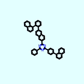 c1ccc(-c2nc(-c3ccc(-c4cccc5ccccc45)cc3)nc(-c3ccc4cc(-c5ccccc5-c5cccc6ccccc56)ccc4c3)n2)cc1